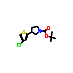 CC(C)(C)OC(=O)N1CCC(c2cc(Cl)cs2)C1